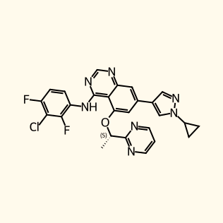 C[C@H](Oc1cc(-c2cnn(C3CC3)c2)cc2ncnc(Nc3ccc(F)c(Cl)c3F)c12)c1ncccn1